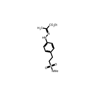 CCOC(=O)C(C)=NNc1ccc(CCS(=O)(=O)NC)cc1